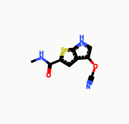 CNC(=O)c1cc2c(OC#N)c[nH]c2s1